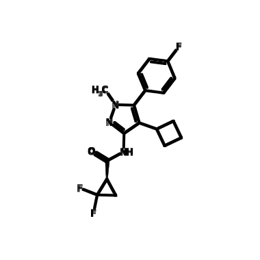 Cn1nc(NC(=O)[C@H]2CC2(F)F)c(C2CCC2)c1-c1ccc(F)cc1